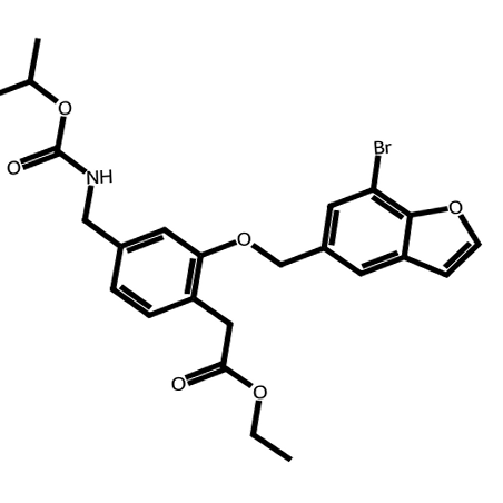 CCOC(=O)Cc1ccc(CNC(=O)OC(C)C)cc1OCc1cc(Br)c2occc2c1